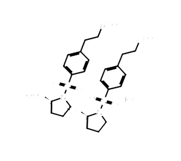 CCCCCCCCCCCCc1ccc(S(=O)(=O)N2CCC[C@H]2C(=O)[O-])cc1.CCCCCCCCCCCCc1ccc(S(=O)(=O)N2CCC[C@H]2C(=O)[O-])cc1.[Rh+2]